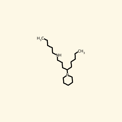 CCCCCNCCCC(CCCCC)N1CCCCC1